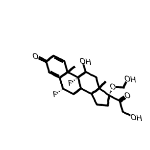 CC12C=CC(=O)C=C1[C@@H](F)CC1C3CC[C@](OCO)(C(=O)CO)C3(C)CC(O)[C@@]12F